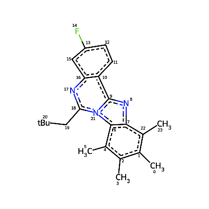 Cc1c(C)c(C)c2c(nc3c4ccc(F)cc4nc(CC(C)(C)C)n32)c1C